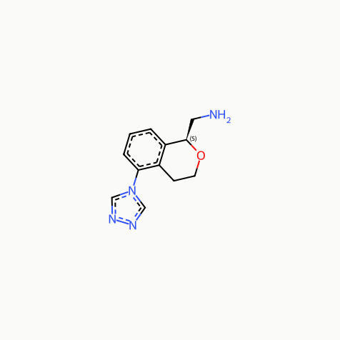 NC[C@H]1OCCc2c1cccc2-n1cnnc1